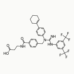 N=C(Nc1cc(C(F)(F)F)cc(C(F)(F)F)c1)N(Cc1ccc(C(=O)NCCC(=O)O)cc1)c1ccc(C2=CCCCC2)cc1